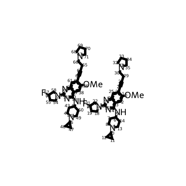 COc1cc2c(NC3CCN(C4CC4)CC3)nc(N3CC[C@@H](F)C3)nc2cc1C#CCCN1CCCC1.COc1cc2c(NC3CCN(C4CC4)CC3)nc(N3CC[C@@H](F)C3)nc2cc1C#CCCN1CCCC1